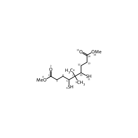 COC(=O)CCC(S)C(C)(C)C(S)CCC(=O)OC